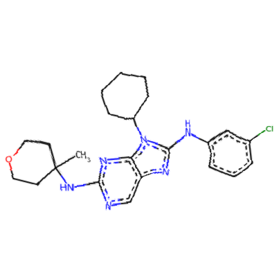 CC1(Nc2ncc3nc(Nc4cccc(Cl)c4)n(C4CCCCC4)c3n2)CCOCC1